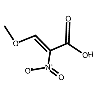 CO/C=C(/C(=O)O)[N+](=O)[O-]